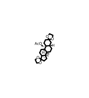 CC(=O)OC[C@]12CCC3(C[C@@H]1CC[C@@H]1[C@@H]2CC[C@@]2(C)[C@H]1CCC21OCCO1)OCCO3